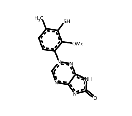 COc1c(-n2cnc3nc(=O)[nH]c-3n2)ccc(C)c1S